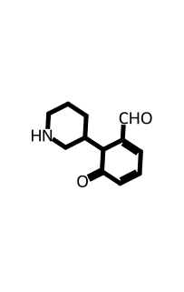 O=CC1=CC=CC(=O)C1C1CCCNC1